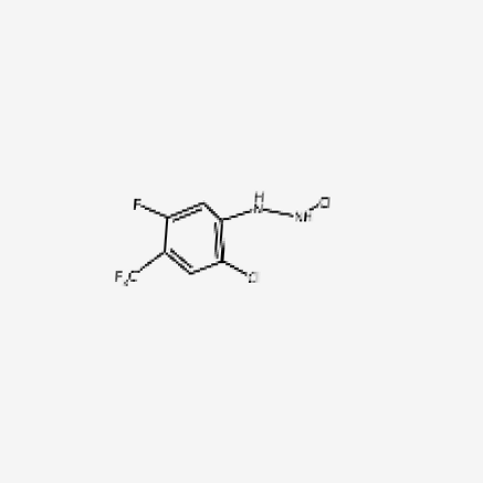 Fc1cc(NNCl)c(Cl)cc1C(F)(F)F